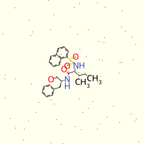 CC[C@H](C)[C@H](NS(=O)(=O)c1cccc2ccccc12)C(=O)N[C@H](C=O)Cc1ccccc1